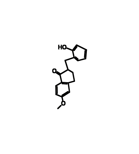 COc1ccc2c(c1)CCC(Cc1ccccc1O)C2=O